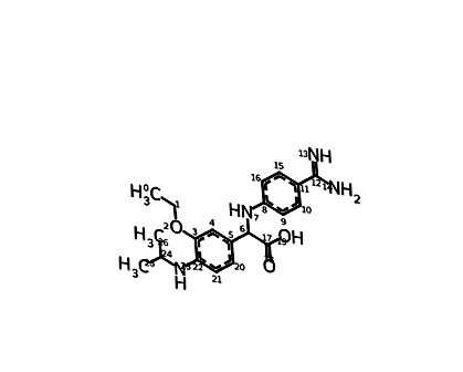 CCOc1cc(C(Nc2ccc(C(=N)N)cc2)C(=O)O)ccc1NC(C)C